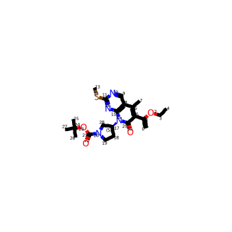 C=C(OCC)c1c(C)c2cnc(SC)nc2n([C@H]2CCN(C(=O)OC(C)(C)C)C2)c1=O